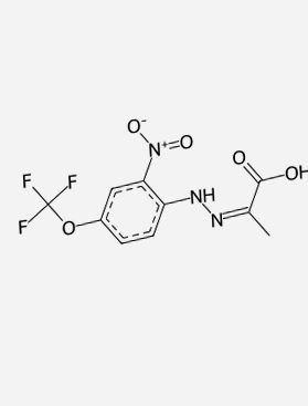 CC(=NNc1ccc(OC(F)(F)F)cc1[N+](=O)[O-])C(=O)O